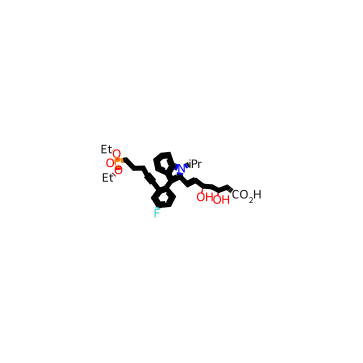 CCOP(=O)(CCCC#Cc1cc(F)ccc1-c1c(/C=C/[C@@H](O)C[C@@H](O)CC(=O)O)n(C(C)C)c2ccccc12)OCC